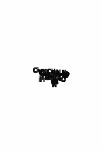 CC(C)O[C@@H](c1ncc(Cl)cn1)[C@H](C)S(=O)(=O)Nc1nnc2n1[C@@H](c1cccnc1)COc1cccnc1-2